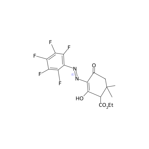 CCOC(=O)C1C(O)=C(/N=N/c2c(F)c(F)c(F)c(F)c2F)C(=O)CC1(C)C